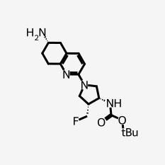 CC(C)(C)OC(=O)N[C@H]1CN(c2ccc3c(n2)CC[C@H](N)C3)C[C@H]1CF